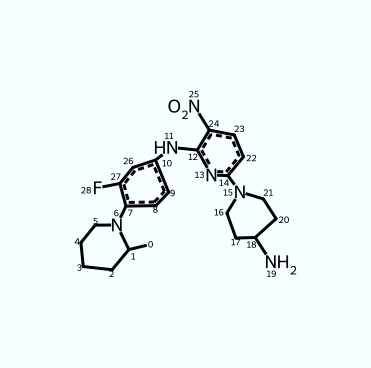 CC1CCCCN1c1ccc(Nc2nc(N3CCC(N)CC3)ccc2[N+](=O)[O-])cc1F